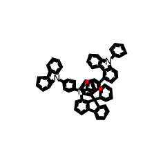 c1ccc(-n2c3ccccc3c3c(-c4ccc(N(c5ccc(-n6c7ccccc7c7ccccc76)cc5)c5cccc6c5C(c5ccccc5)(c5ccccc5)c5ccccc5-6)cc4)cccc32)cc1